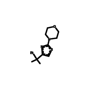 CCC(C)(C)c1csc(N2CCOCC2)n1